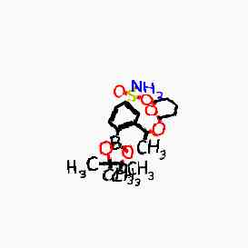 CC(OC1CCCCO1)c1cc(S(N)(=O)=O)ccc1B1OC(C)(C)C(C)(C)O1